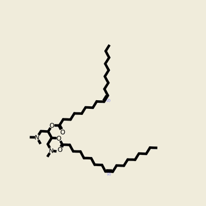 CCCCCCCC/C=C\CCCCCCCC(=O)OC(CN(C)C)C(CN(C)C)OC(=O)CCCCCCC/C=C\CCCCCCCC